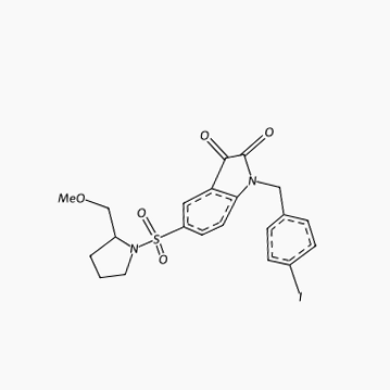 COCC1CCCN1S(=O)(=O)c1ccc2c(c1)C(=O)C(=O)N2Cc1ccc(I)cc1